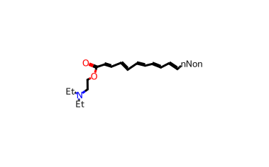 CCCCCCCCCC=CC=CC=CC=CC=CC(=O)OCCN(CC)CC